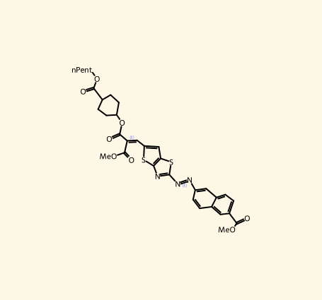 CCCCCOC(=O)C1CCC(OC(=O)/C(=C/c2cc3sc(/N=N/c4ccc5cc(C(=O)OC)ccc5c4)nc3s2)C(=O)OC)CC1